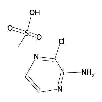 CS(=O)(=O)O.Nc1nccnc1Cl